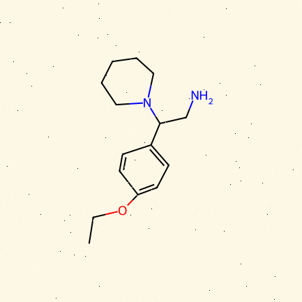 CCOc1ccc(C(CN)N2CCCCC2)cc1